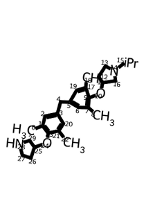 Cc1cc(Cc2cc(C)c(OC3CCN(C(C)C)C3)c(C)c2)cc(C)c1OC1CCNC1